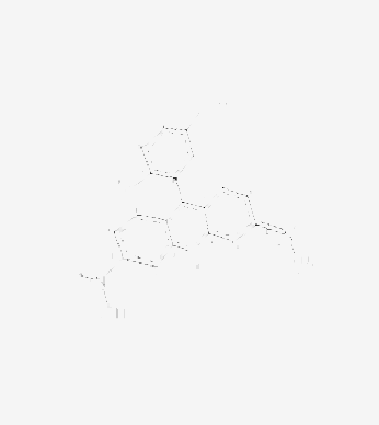 CN(C)c1ccc2c(-c3cc(C=O)ccc3C(=O)O)c3ccc(=[N+](C)C)cc-3oc2c1